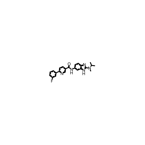 CC(C)N(C)c1nc2ccc(NC(=O)c3ccc(-c4cccc(F)c4)nc3)cc2[nH]1